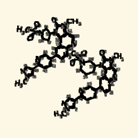 Cn1cc(-c2ccc(-c3ccc4ncc5c(c4c3)n(C3CCCN(S(C)(=O)=O)C3)c(=O)n5C)cn2)cn1.Cn1cc(-c2ccc(-c3ccc4ncc5c(c4c3)n(C3CCN(S(C)(=O)=O)C3)c(=O)n5C)cn2)cn1